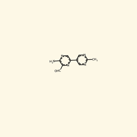 Cc1ncc(-c2cnc(N)c(C=O)n2)cn1